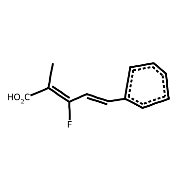 CC(C(=O)O)=C(F)C=Cc1ccccc1